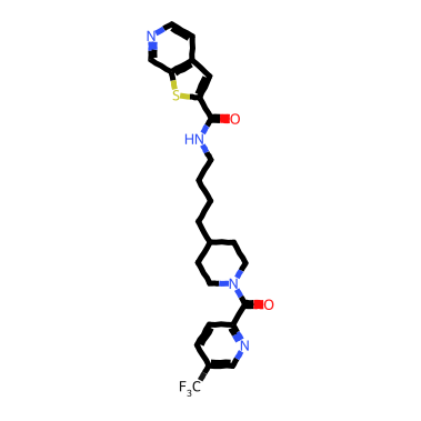 O=C(NCCCCC1CCN(C(=O)c2ccc(C(F)(F)F)cn2)CC1)c1cc2ccncc2s1